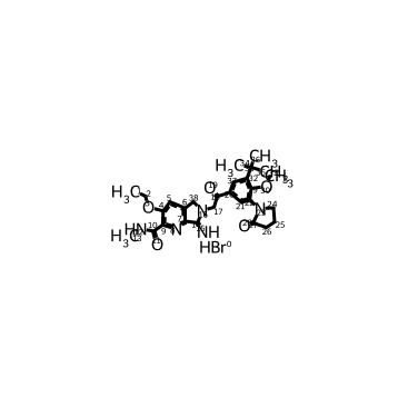 Br.CCOc1cc2c(nc1C(=O)NC)C(=N)N(CC(=O)c1cc(N3CCCC3=O)c(OC)c(C(C)(C)C)c1)C2